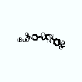 CC(C)(C)OC(=O)N1CCC(C2Cc3nc(-c4ccc(S(C)(=O)=O)cc4)ncc3O2)CC1